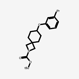 CC(C)c1cccc(OC2CCC3(CC2)CN(C(=O)OC(C)(C)C)C3)c1